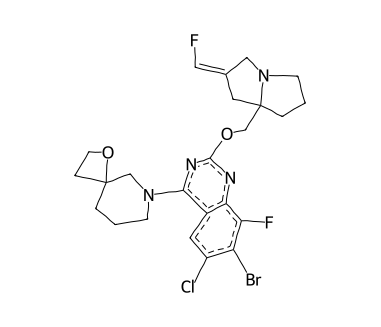 F/C=C1\CN2CCCC2(COc2nc(N3CCCC4(CCO4)C3)c3cc(Cl)c(Br)c(F)c3n2)C1